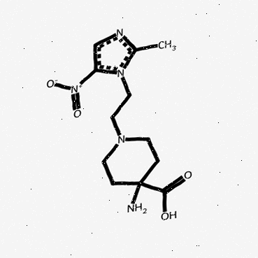 Cc1ncc([N+](=O)[O-])n1CCN1CCC(N)(C(=O)O)CC1